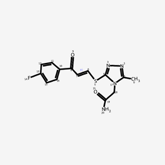 Cc1nnc(S/C=C/C(=O)c2ccc(F)cc2)n1CC(N)=O